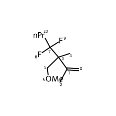 C=C(C)C(C)(COC)C(F)(F)CCC